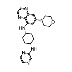 c1cnc(N[C@H]2CC[C@@H](Nc3cc(N4CCOCC4)cc4nccnc34)CC2)cn1